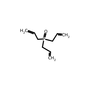 C=CCP(=O)(CC=C)CC=C